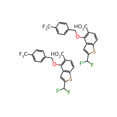 O=C(O)c1ccc2sc(C(F)F)cc2c1OCc1ccc(C(F)(F)F)cc1.O=C(O)c1ccc2sc(C(F)F)cc2c1OCc1ccc(C(F)(F)F)cc1